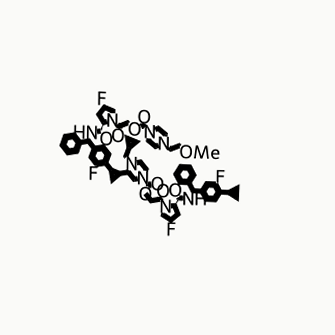 COCCN1CCN(C(=O)OCC(=O)N2C[C@H](F)C[C@H]2C(=O)N[C@@H](c2ccccc2)c2ccc(C3CC3C3CN(C(=O)OCC(=O)N4C[C@H](F)C[C@H]4C(=O)N[C@@H](c4ccccc4)c4ccc(C5CC5)c(F)c4)CCN3CC3CC3)c(F)c2)CC1